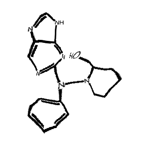 OC1CCCCN1N(c1ccccc1)c1ncc2nc[nH]c2n1